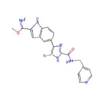 COC(=N)c1cc2cc(-c3nc(C(=O)NCc4ccncc4)[nH]c3Br)ccc2[nH]1